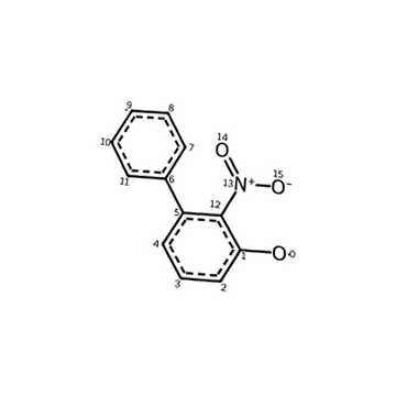 [O]c1cccc(-c2cc[c]cc2)c1[N+](=O)[O-]